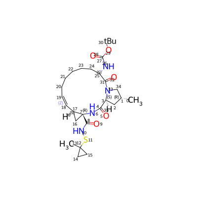 C[C@@H]1C[C@H]2C(=O)N[C@]3(C(=O)NSC4(C)CC4)C[C@H]3/C=C\CCCCC[C@H](NC(=O)OC(C)(C)C)C(=O)N2C1